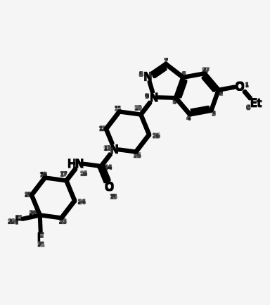 CCOc1ccc2c(cnn2C2CCN(C(=O)NC3CCC(F)(F)CC3)CC2)c1